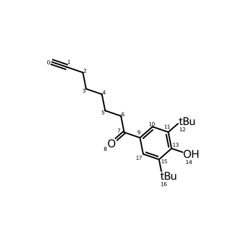 C#CCCCCCC(=O)c1cc(C(C)(C)C)c(O)c(C(C)(C)C)c1